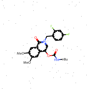 CCCCNC(=O)Oc1cn(Cc2ccc(F)cc2F)c(=O)c2cc(OC)c(OC)cc12